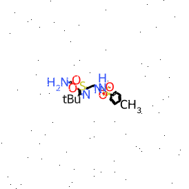 Cc1ccc(S(=O)(=O)NN=Cc2nc(C(C)(C)C)c(OC(N)=O)s2)cc1